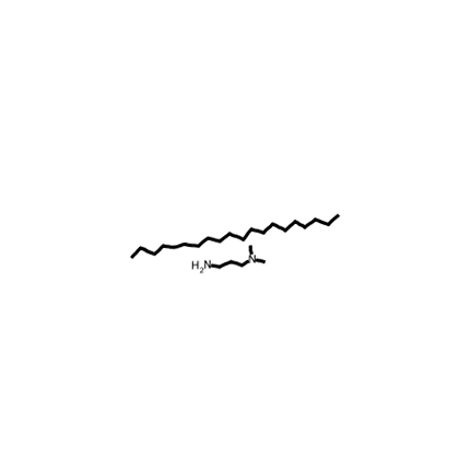 CCCCCCCCCCCCCCCCCCCC.CN(C)CCCN